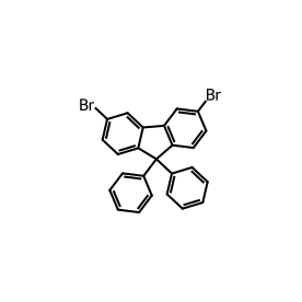 Brc1ccc2c(c1)-c1cc(Br)ccc1C2(c1ccccc1)c1ccccc1